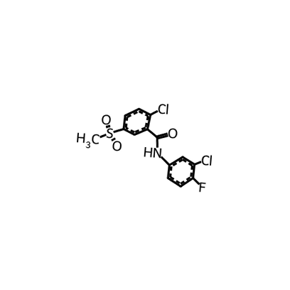 CS(=O)(=O)c1ccc(Cl)c(C(=O)Nc2ccc(F)c(Cl)c2)c1